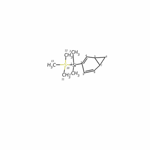 C[Si](C)(C1=CC2CC2C=C1)S(C)(C)C